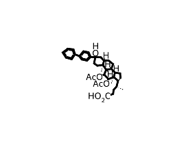 CC(=O)OC1C(OC(C)=O)[C@]2(C)[C@@H]([C@H](C)CCC(=O)O)CC[C@H]2[C@@H]2CC[C@@H]3C[C@@](O)(c4ccc(-c5ccccc5)cc4)CC[C@]3(C)[C@@H]12